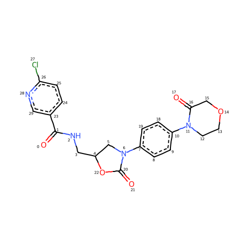 O=C(NCC1CN(c2ccc(N3CCOCC3=O)cc2)C(=O)O1)c1ccc(Cl)nc1